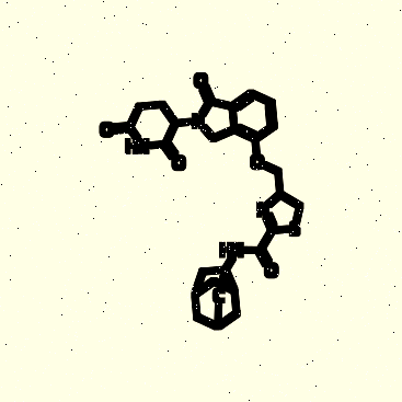 O=C1CCC(N2Cc3c(OCC4CSC(C(=O)NC56CC7CC(CC5C7)C6)=N4)cccc3C2=O)C(=O)N1